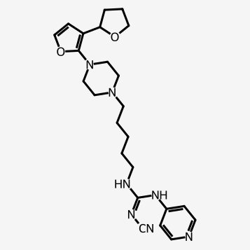 N#CN=C(NCCCCCN1CCN(c2occc2C2CCCO2)CC1)Nc1ccncc1